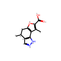 Cc1c(C(=O)O)oc2c1-c1[nH]ncc1C(C)C2